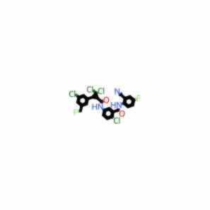 N#Cc1cc(F)ccc1NC(=O)c1cc(NC(=O)C2C(c3cc(Cl)cc(CF)c3)C2(Cl)Cl)ccc1Cl